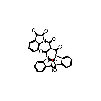 O=C1C(=O)N(C(=O)C(C(=O)N2C(=O)C(=O)c3ccccc32)C(=O)N2C(=O)C(=O)c3ccccc32)c2ccccc21